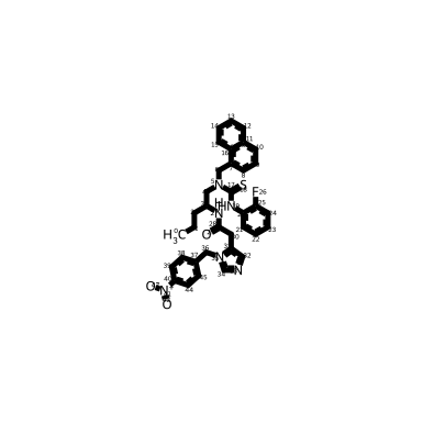 CCCC(CN(Cc1cccc2ccccc12)C(=S)Nc1ccccc1F)NC(=O)Cc1cncn1Cc1ccc([N+](=O)[O-])cc1